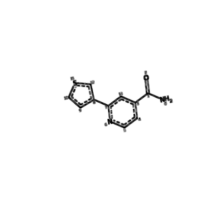 NC(=O)c1ccnc(-c2ccsc2)c1